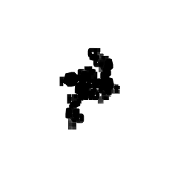 CCOC(=O)[C@@H](Cc1cc(CC(=O)O)ccc1OCc1ccnc(OCCC(F)(F)F)n1)Oc1ncnc2sc(-c3ccc(F)cc3)c(-c3ccc(CNCCN4CCNC(=O)C4)c(Cl)c3C)c12